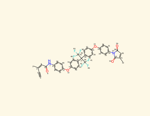 C#C/C(C)=C\C(=O)Nc1ccc(Oc2ccc(C(c3ccc(Oc4ccc(N5C(=O)C=C(C)C5=O)cc4)cc3)(C(F)(F)F)C(F)(F)F)cc2)cc1